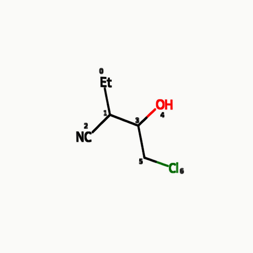 CCC(C#N)C(O)CCl